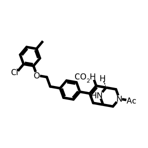 CC(=O)N1CC2CC(c3ccc(CCOc4cc(C)ccc4Cl)cc3)=C(C(=O)O)[C@@H](C1)N2